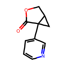 O=C1OCC2CC12c1cccnc1